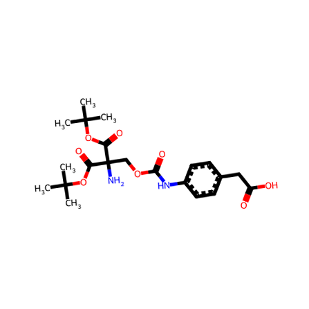 CC(C)(C)OC(=O)C(N)(COC(=O)Nc1ccc(CC(=O)O)cc1)C(=O)OC(C)(C)C